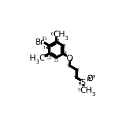 Cc1cc(OCCC[S+](C)[O-])cc(C)c1Br